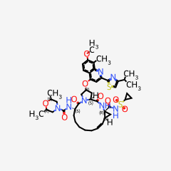 COc1ccc2c(O[C@@H]3C[C@H]4C(=O)N[C@]5(C(=O)NS(=O)(=O)C6CC6)C[C@H]5C=CCCCCC[C@H](NC(=O)N5C[C@@H](C)O[C@@H](C)C5)C(=O)N4C3)cc(-c3nc(C(C)C)cs3)nc2c1C